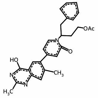 CC(=O)OCCC(Cc1ccccc1)n1ccc(-c2cc3c(O)nc(C)nc3cc2C)cc1=O